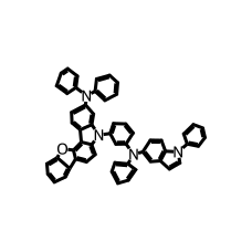 c1ccc(N(c2cccc(-n3c4cc(N(c5ccccc5)c5ccccc5)ccc4c4c5oc6ccccc6c5ccc43)c2)c2ccc3c(ccn3-c3ccccc3)c2)cc1